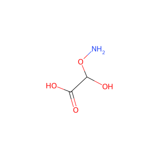 NOC(O)C(=O)O